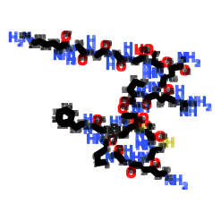 CCCCC(NC(=O)[C@@H]1CCCN1C(=O)CNC(=O)[C@H](CCCCN)NC(=O)[C@H](CS)NC(=O)[C@H](CO)NC(=O)C(CC(C)C)NC(=O)[C@H](CS)NC(=O)[C@@H]1CCCN1C(=O)[C@H](CCCNC(=N)N)NC(=O)[C@H](CCC(N)=O)NC(=O)[C@H](CO)NC(=O)CNC(=O)CNC(=O)CNC(=O)CNC(=O)[C@@H](N)CCCCN)C(=O)NCCc1ccccc1